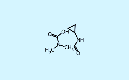 CN(C)C(=O)O.O=CNC1CC1